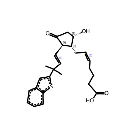 CC(C)(/C=C/[C@H]1C(=O)C[C@H](O)[C@@H]1C/C=C\CCCC(=O)O)c1cc2ccccc2s1